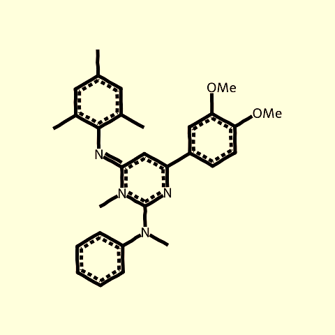 COc1ccc(-c2cc(=Nc3c(C)cc(C)cc3C)n(C)c(N(C)c3ccccc3)n2)cc1OC